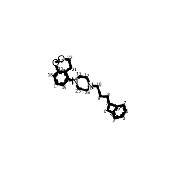 c1ccc2c(c1)CC2CCCN1CCN(c2cccc3c2CCOO3)CC1